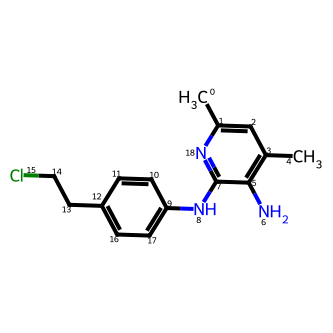 Cc1cc(C)c(N)c(Nc2ccc(CCCl)cc2)n1